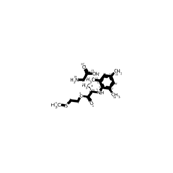 CSCCOC(=O)[C@H](C)Nc1c(C)cc(C)cc1C.NCC(=O)O